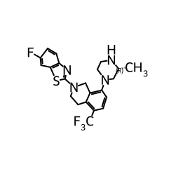 C[C@@H]1CN(c2ccc(C(F)(F)F)c3c2CN(c2nc4ccc(F)cc4s2)CC3)CCN1